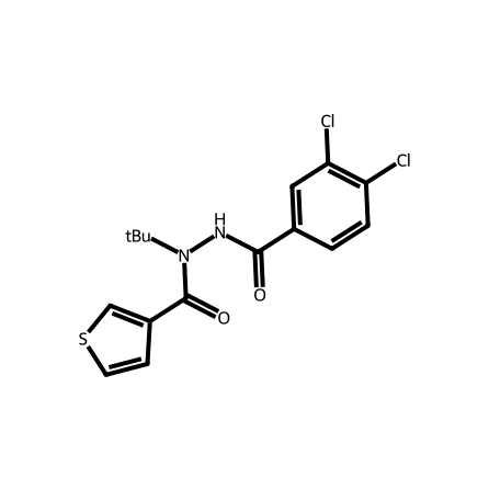 CC(C)(C)N(NC(=O)c1ccc(Cl)c(Cl)c1)C(=O)c1ccsc1